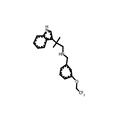 CC(C)(CNCc1cccc(OCC(F)(F)F)c1)c1c[nH]c2ccccc12